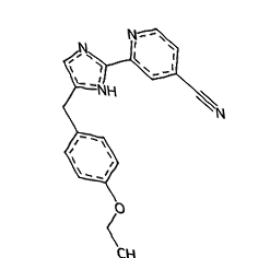 CCOc1ccc(Cc2cnc(-c3cc(C#N)ccn3)[nH]2)cc1